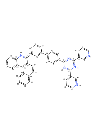 c1cncc(-c2nc(-c3ccc(-c4cccc(-c5nc6ccccc6c6c5ccc5ccccc56)c4)cc3)nc(-c3cccnc3)n2)c1